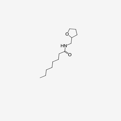 CCCCCCCC(=O)NCC1CCCO1